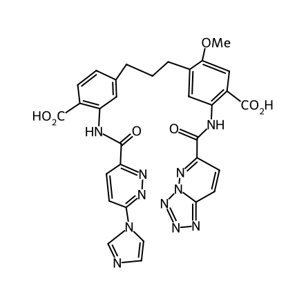 COc1cc(C(=O)O)c(NC(=O)c2ccc3nnnn3n2)cc1CCCc1ccc(C(=O)O)c(NC(=O)c2ccc(-n3ccnc3)nn2)c1